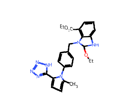 CCOC(=O)c1cccc2c1N(Cc1ccc(-n3c(C)ccc3-c3nnn[nH]3)cc1)C(OCC)N2